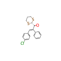 O=C(/C(=C/c1ccc(Cl)cc1)c1ccccc1)C1SCCCS1